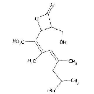 CCCCC(C)CC(C)=CC(C)=C(C(=O)O)C1OC(=O)C1CO